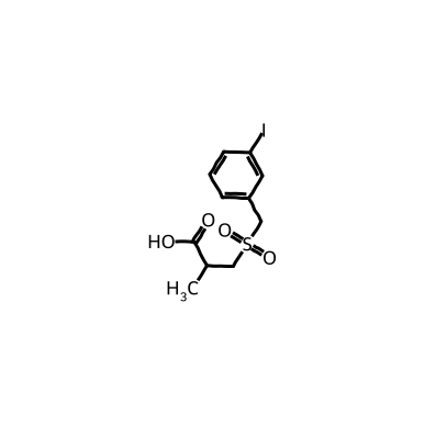 CC(CS(=O)(=O)Cc1cccc(I)c1)C(=O)O